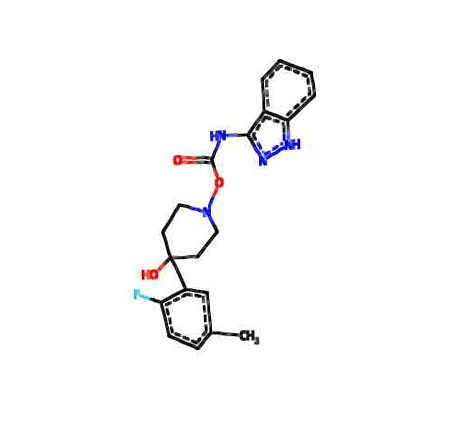 Cc1ccc(F)c(C2(O)CCN(OC(=O)Nc3n[nH]c4ccccc34)CC2)c1